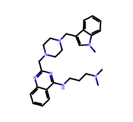 CN(C)CCCNc1nc(CN2CCN(Cc3cn(C)c4ccccc34)CC2)nc2ccccc12